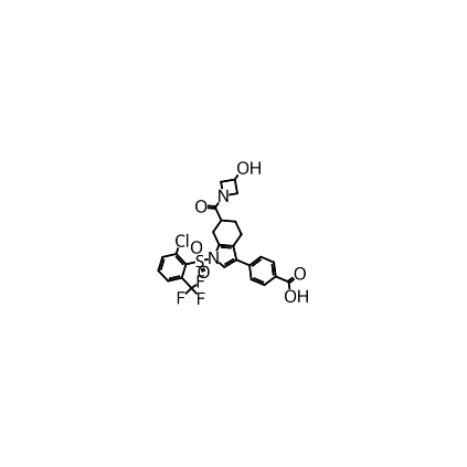 O=C(O)c1ccc(-c2cn(S(=O)(=O)c3c(Cl)cccc3C(F)(F)F)c3c2CCC(C(=O)N2CC(O)C2)C3)cc1